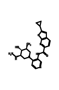 C[C@H]1CN(c2ccncc2NC(=O)c2ccc3cc(C4CC4)oc3n2)C[C@@H](NN)[C@@H]1O